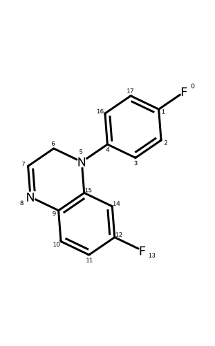 Fc1ccc(N2CC=Nc3ccc(F)cc32)cc1